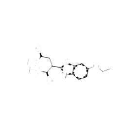 CCOc1ccc2nc(C(CC(=O)S)C(=O)O)sc2c1